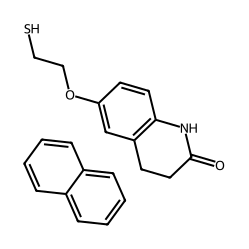 O=C1CCc2cc(OCCS)ccc2N1.c1ccc2ccccc2c1